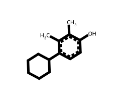 Cc1c(O)ccc(C2CCCCC2)c1C